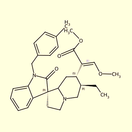 CC[C@H]1CN2CC[C@]3(C(=O)N(Cc4ccc(C)cc4)c4ccccc43)C2C[C@@H]1/C(=C\OC)C(=O)OC